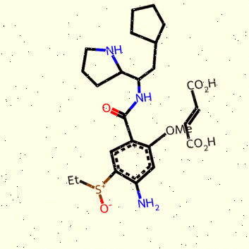 CC[S+]([O-])c1cc(C(=O)NC(CC2CCCC2)C2CCCN2)c(OC)cc1N.O=C(O)C=CC(=O)O